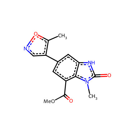 COC(=O)c1cc(-c2cnoc2C)cc2[nH]c(=O)n(C)c12